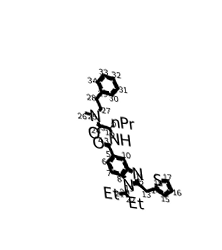 CCC[C@H](NC(=O)c1ccc2c(c1)nc(Cc1cccs1)n2C(CC)CC)C(=O)N(C)CCc1ccccc1